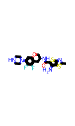 Cc1nc2sc(C(=O)N[C@H]3COc4cc(N5CCNCC5)c(F)c(F)c4C3)c(N)c2s1